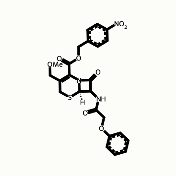 COCC1=C(C(=O)OCc2ccc([N+](=O)[O-])cc2)N2C(=O)C(NC(=O)COc3ccccc3)[C@H]2SC1